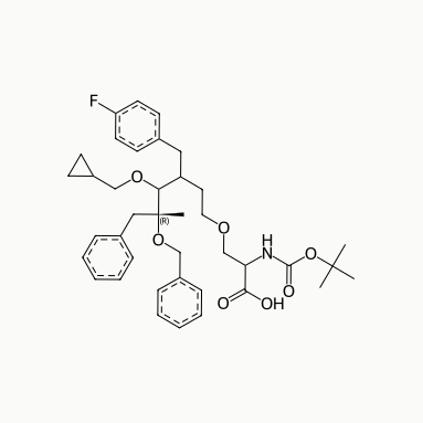 CC(C)(C)OC(=O)NC(COCCC(Cc1ccc(F)cc1)C(OCC1CC1)[C@@](C)(Cc1ccccc1)OCc1ccccc1)C(=O)O